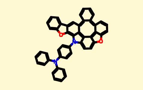 c1ccc(N(c2ccccc2)c2ccc(-n3c4ccc5oc6cccc7c8ccccc8c8cc9c%10ccccc%10oc9c3c8c4c5c67)cc2)cc1